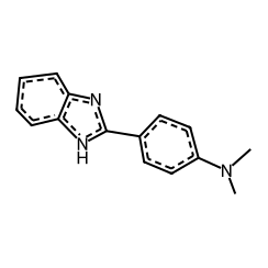 CN(C)c1ccc(-c2nc3ccccc3[nH]2)cc1